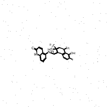 CCC1CC(O)(C(F)(F)F)C(CNc2cccc3[nH]c(=O)ccc23)c2ccc(F)c(O)c21